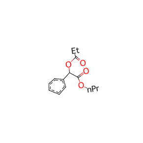 CCCOC(=O)C(OC(=O)CC)c1ccccc1